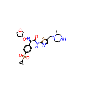 C[C@@H]1CNCCN1Cc1cnc(NC(=O)/C(=N/O[C@@H]2CCOC2)c2ccc(S(=O)(=O)C3CC3)cc2)s1